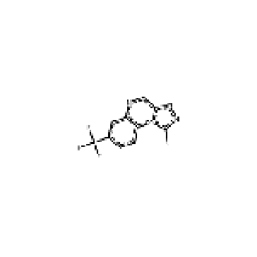 Cc1nnc2cnc3cc(C(F)(F)F)ccc3n12